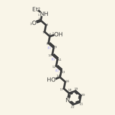 CCNC(=O)CCC(O)/C=C/C=C/C=C/C(O)CCc1ccccn1